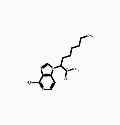 CCCCCCC([C@@H](C)O)n1cnc2c(N)nccc21